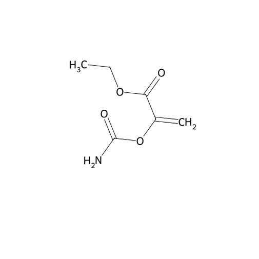 C=C(OC(N)=O)C(=O)OCC